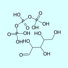 O=CC(O)C(O)C(O)CO.O=P(O)(O)OP(=O)(O)OP(=O)(O)O